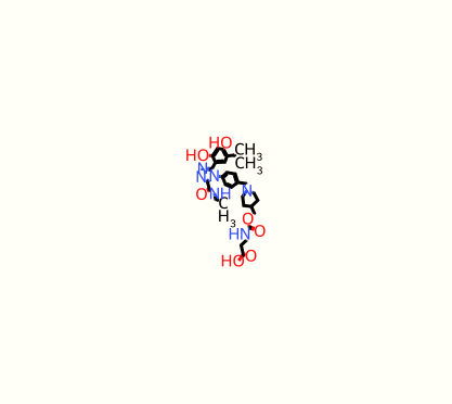 CCNC(=O)c1nnc(-c2cc(C(C)C)c(O)cc2O)n1-c1ccc(CN2CCC(COC(=O)NCCC(=O)O)CC2)cc1